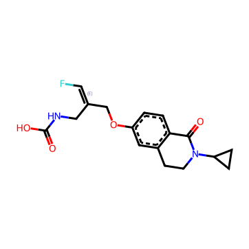 O=C(O)NC/C(=C\F)COc1ccc2c(c1)CCN(C1CC1)C2=O